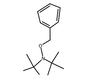 CC(C)(C)N(OCc1ccccc1)C(C)(C)C